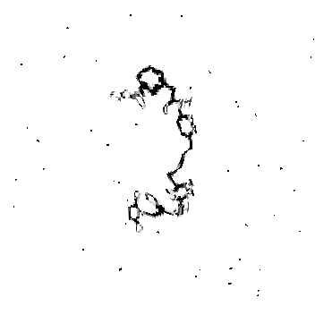 O=C(Cc1cccc(OC(F)(F)F)c1)Nc1ccc(CCCCc2nnc(NC(=O)CN3C(=O)CCC3=O)s2)nn1